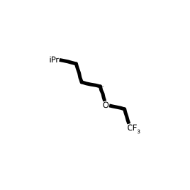 CC(C)CC[CH]OCC(F)(F)F